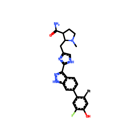 CCc1cc(O)c(F)cc1-c1ccc2c(-c3nc(CC4C(C(N)=O)CCN4C)c[nH]3)n[nH]c2c1